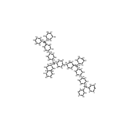 c1ccc(N(c2ccccc2)c2ccc(-c3ccc(N(c4ccccc4)c4ccc(-c5ccc(N(c6ccc(-c7ccc(N(c8ccccc8)c8ccccc8)cc7)cc6)c6ccc7ccccc7c6)cc5)cc4)cc3)cc2)cc1